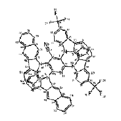 N#Cc1c(-n2c3ccccc3c3cc(C(F)(F)F)ccc32)c(-n2c3ccccc3c3cc(C(F)(F)F)ccc32)nc(-n2c3ccccc3c3cc4ccccc4cc32)c1-n1c2ccccc2c2cc3ccccc3cc21